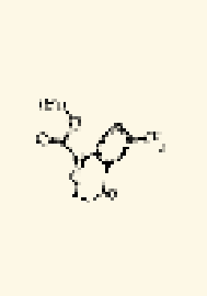 CC(C)(C)OC(=O)N1CCCC(=O)c2cc(C(F)(F)F)ccc21